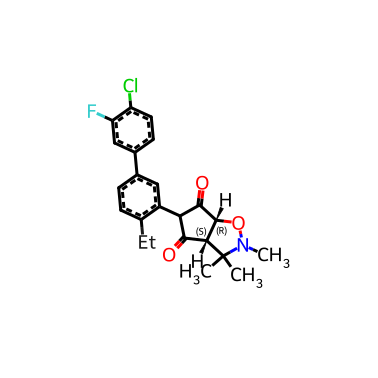 CCc1ccc(-c2ccc(Cl)c(F)c2)cc1C1C(=O)[C@@H]2[C@@H](ON(C)C2(C)C)C1=O